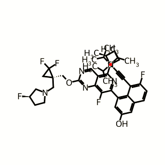 CC(C)[Si](C#Cc1c(F)ccc2cc(O)cc(-c3nc(N4CC[C@@H]4C)c4cnc(OC[C@]5(CN6CC[C@@H](F)C6)CC5(F)F)nc4c3F)c12)(C(C)C)C(C)C